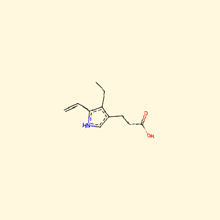 C=Cc1[nH]cc(CCC(=O)O)c1CC